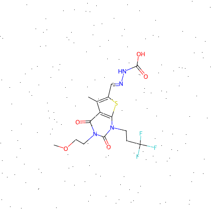 COCCn1c(=O)c2c(C)c(C=NNC(=O)O)sc2n(CCC(F)(F)F)c1=O